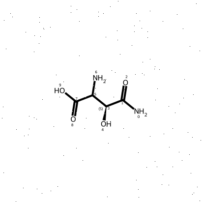 NC(=O)[C@@H](O)C(N)C(=O)O